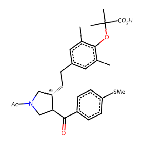 CSc1ccc(C(=O)C2CN(C(C)=O)C[C@@H]2CCc2cc(C)c(OC(C)(C)C(=O)O)c(C)c2)cc1